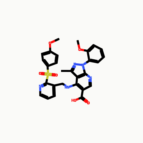 COc1ccc(S(=O)(=O)c2ncccc2CNc2c(C(=O)O)cnc3c2c(C)nn3-c2ccccc2OC)cc1